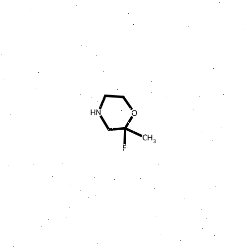 CC1(F)CNCCO1